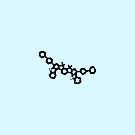 CC1(C)c2cc(-c3ccc(-c4ccccc4)cc3)c3c(oc4ccccc43)c2-c2ccc3c(c21)C(C)(C)c1cc(-c2ccc(-c4ccccc4)cc2)c2oc4ccccc4c2c1-3